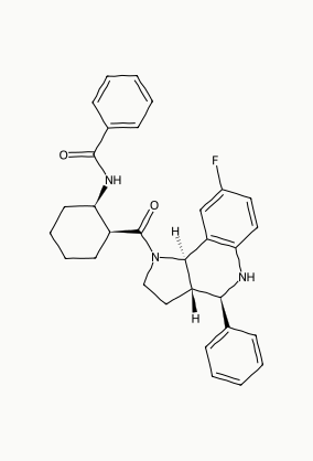 O=C(N[C@@H]1CCCC[C@@H]1C(=O)N1CC[C@H]2[C@H](c3ccccc3)Nc3ccc(F)cc3[C@@H]21)c1ccccc1